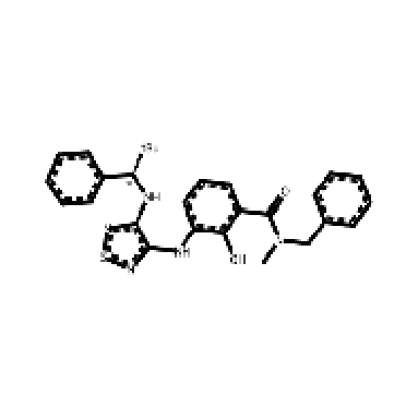 CN(Cc1ccccc1)C(=O)c1cccc(Nc2nsnc2N[C@@H](c2ccccc2)C(C)(C)C)c1O